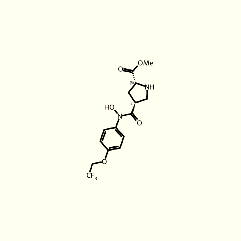 COC(=O)[C@H]1C[C@H](C(=O)N(O)c2ccc(OCC(F)(F)F)cc2)CN1